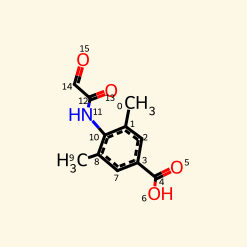 Cc1cc(C(=O)O)cc(C)c1NC(=O)C=O